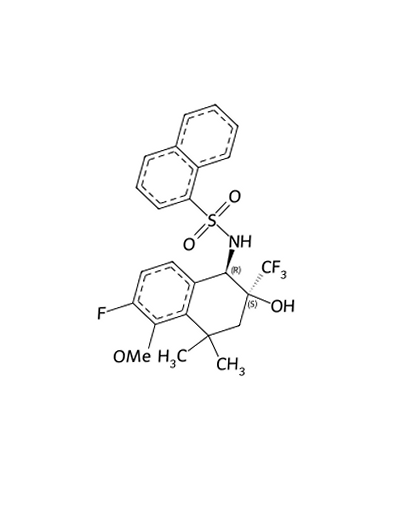 COc1c(F)ccc2c1C(C)(C)C[C@@](O)(C(F)(F)F)[C@@H]2NS(=O)(=O)c1cccc2ccccc12